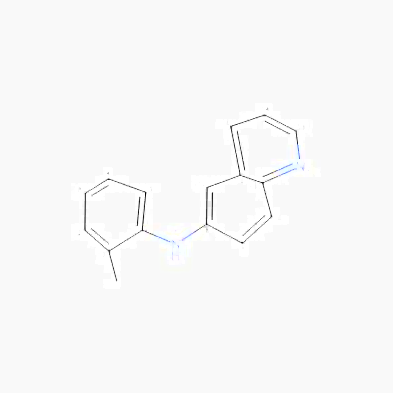 Cc1ccccc1Nc1ccc2ncccc2c1